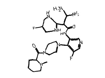 CN1CCCCC1C(=O)N1CCN(c2c(F)cncc2NC(=O)C(C(N)N)C2NCC(F)CN2)CC1